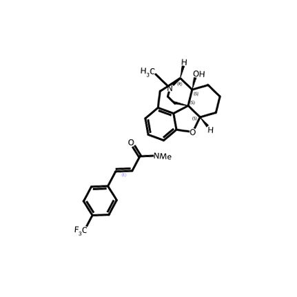 CN1CC[C@]23c4c5cccc4O[C@H]2CCC[C@@]3(O)[C@H]1C5.CNC(=O)/C=C/c1ccc(C(F)(F)F)cc1